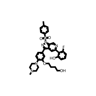 Cc1ccc(S(=O)(=O)n2nc(-c3ccc(N4CCN(C)CC4)c(OCCCCO)c3)c3cc(-c4c(O)cccc4F)ncc32)cc1